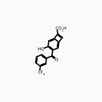 O=C(O)C1=Cc2cc(C(=O)c3cccc(C(F)(F)F)c3)c(O)cc21